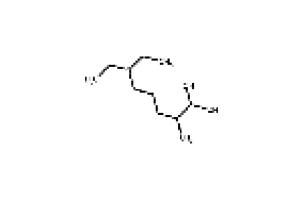 CCN(CC)C[CH]CC(C)C(O)O